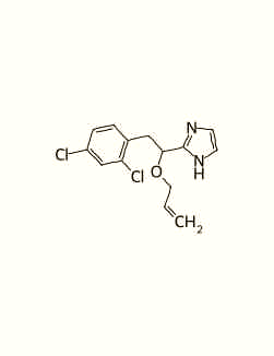 C=CCOC(Cc1ccc(Cl)cc1Cl)c1ncc[nH]1